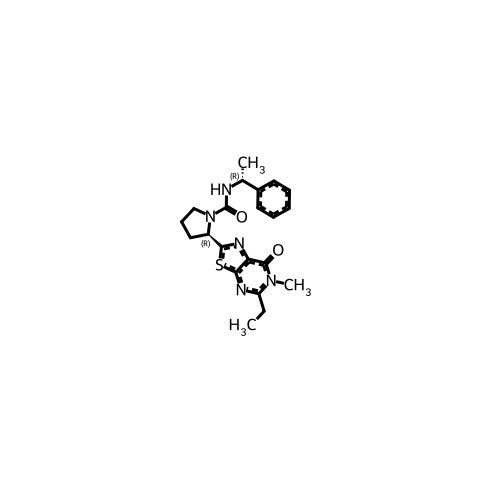 CCc1nc2sc([C@H]3CCCN3C(=O)N[C@H](C)c3ccccc3)nc2c(=O)n1C